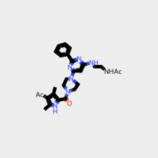 CC(=O)NCCNc1cc(N2CCN(C(=O)c3[nH]c(C)c(C(C)=O)c3C)CC2)nc(-c2ccccc2)n1